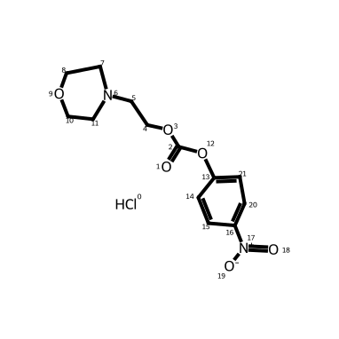 Cl.O=C(OCCN1CCOCC1)Oc1ccc([N+](=O)[O-])cc1